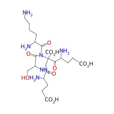 NCCCCC(N)C(=O)N(C(=O)C(N)CO)C(CC(=O)C(N)CCC(=O)O)(C(=O)O)C(=O)C(N)CCC(=O)O